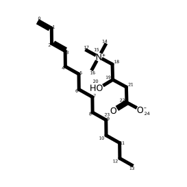 C=CC=CCCCCCCCCCC.C[N+](C)(C)CC(O)CC(=O)[O-]